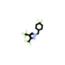 FC(F)c1nn(CC2CCC(F)(F)CC2)cc1C(F)(F)F